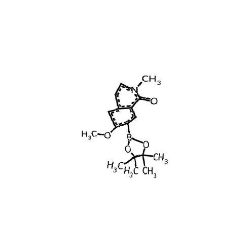 COc1cc2ccn(C)c(=O)c2cc1B1OC(C)(C)C(C)(C)O1